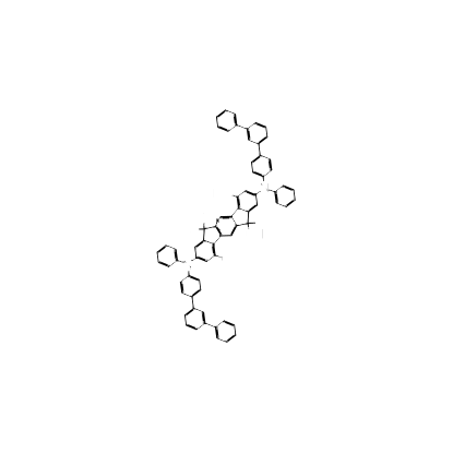 Cc1cc(N(c2ccccc2)c2ccc(-c3cccc(-c4ccccc4)c3)cc2)cc2c1-c1cc3c(cc1C2(C)C)-c1c(C)cc(N(c2ccccc2)c2ccc(-c4cccc(-c5ccccc5)c4)cc2)cc1C3(C)C